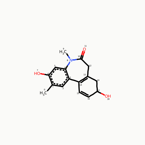 Cc1cc2c(cc1O)N(C)C(=O)CC1=C2C=CC(O)C1